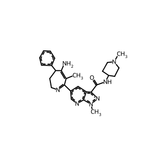 CC1=C(N)C(c2ccccc2)CCN=C1c1cnc2c(c1)c(C(=O)NC1CCN(C)CC1)nn2C